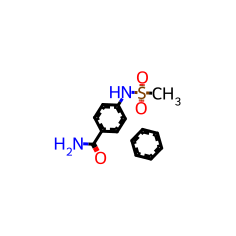 CS(=O)(=O)Nc1ccc(C(N)=O)cc1.c1ccccc1